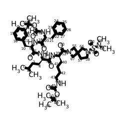 CC(C)CC[C@@H](NC(=O)[C@@H](Cc1ccccc1)NC(=O)[C@@H](Cc1ccccc1)NC(=O)OC(C)(C)C)C(=O)N[C@H](CCCCNC(=O)OC(C)(C)C)C(=O)N1CC2(CCN(S(=O)(=O)N(C)C)C2)C1